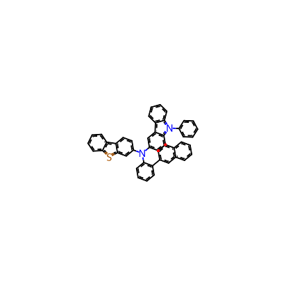 c1ccc(-n2c3ccccc3c3cc(N(c4ccc5c(c4)sc4ccccc45)c4ccccc4-c4ccc5ccccc5c4)ccc32)cc1